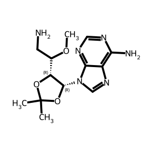 COC(CN)[C@H]1OC(C)(C)O[C@H]1n1cnc2c(N)ncnc21